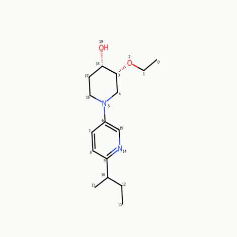 CCO[C@@H]1CN(c2ccc(C(C)CC)nc2)CC[C@@H]1O